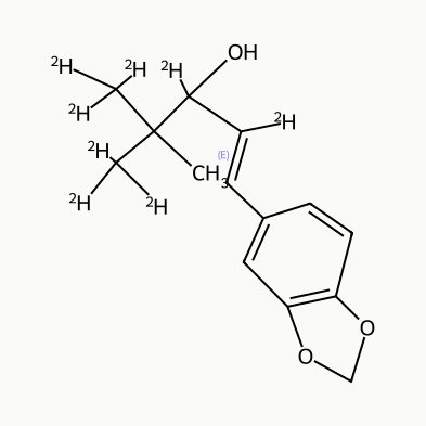 [2H]/C(=C\c1ccc2c(c1)OCO2)C([2H])(O)C(C)(C([2H])([2H])[2H])C([2H])([2H])[2H]